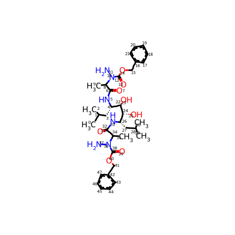 CC(C)C[C@H](NC(=O)C(C)N(N)C(=O)OCc1ccccc1)[C@@H](O)[C@H](O)[C@H](CC(C)C)NC(=O)C(C)N(N)C(=O)OCc1ccccc1